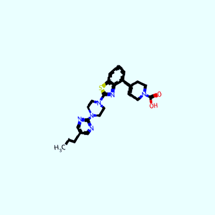 CCCc1cnc(N2CCN(c3nc4c(C5=CCN(C(=O)O)CC5)cccc4s3)CC2)nc1